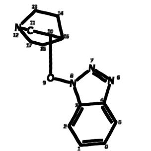 c1ccc2c(c1)nnn2OC1CN2CCC1CC2